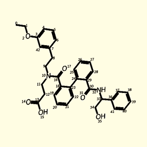 CCOc1cccc(CCN(CCC(=O)O)C(=O)c2ccccc2-c2ccccc2C(=O)NC(CO)c2ccccc2)c1